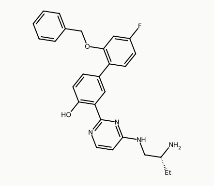 CC[C@@H](N)CNc1ccnc(-c2cc(-c3ccc(F)cc3OCc3ccccc3)ccc2O)n1